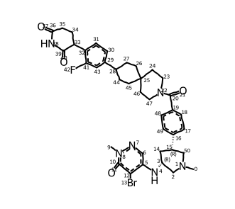 CN1C[C@H](Nc2cnn(C)c(=O)c2Br)C[C@H](c2ccc(C(=O)N3CCC4(CCC(c5ccc(C6CCC(=O)NC6=O)c(F)c5)CC4)CC3)cc2)C1